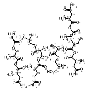 CC(C)C[C@H](N)C(=O)OC(=O)[C@@H](N)CC(N)=O.CC[C@H](C)[C@H](N)C(=O)OC[C@H](N)C(=O)O.C[C@@H](OC(=O)[C@@H](N)CCC(N)=O)[C@H](N)C(=O)OC[C@H](N)C(=O)O.NCC(=O)OC(=O)[C@@H](N)CC(N)=O.NCC(=O)OC[C@H](N)C(=O)OC(=O)[C@@H](N)CC(N)=O